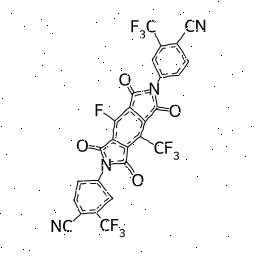 N#Cc1ccc(-n2c(=O)c3c(F)c4c(=O)n(-c5ccc(C#N)c(C(F)(F)F)c5)c(=O)c4c(C(F)(F)F)c3c2=O)cc1C(F)(F)F